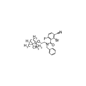 CC(C)(C)[Si](C)(C)OCCN(Cc1ccccc1)C(=O)c1c(F)ccc(C#N)c1Br